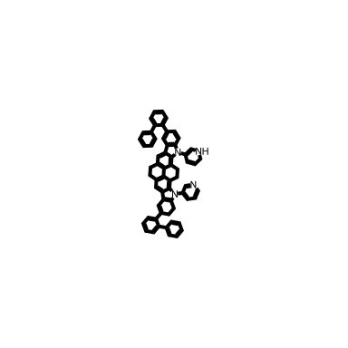 C1=CC(n2c3ccc(-c4ccccc4-c4ccccc4)cc3c3cc4c5c(c32)CCc2c-5c(cc3c5c(n(-c6cccnc6)c23)CCC(c2ccccc2-c2ccccc2)=C5)CC4)=CNC1